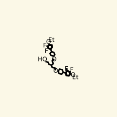 CCOc1ccc(C2CCC(OCCC(CCCO)CCOC3CCC(c4ccc(OCC)c(F)c4F)CC3)CC2)c(F)c1F